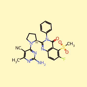 Cc1nc(N)nc(N2CCC[C@H]2c2nc3ccc(F)c(S(C)(=O)=O)c3c(=O)n2-c2ccccc2)c1C#N